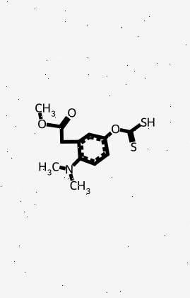 COC(=O)Cc1cc(OC(=S)S)ccc1N(C)C